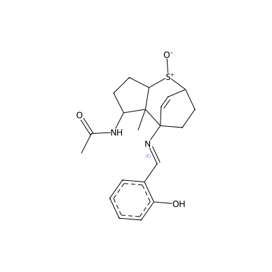 CC(=O)NC1CCC2[S+]([O-])C3C=CC(/N=C/c4ccccc4O)(CC3)C12C